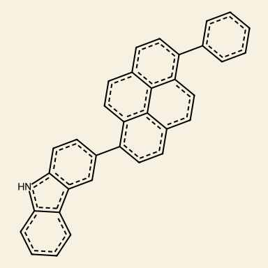 c1ccc(-c2ccc3ccc4c(-c5ccc6[nH]c7ccccc7c6c5)ccc5ccc2c3c54)cc1